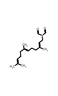 CC(C)=CCCC(C)=CCCC(C)=CCN(C=O)C=O